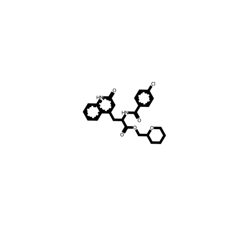 O=C(NC(Cc1cc(=O)[nH]c2ccccc12)C(=O)OCC1CCCCO1)c1ccc(Cl)cc1